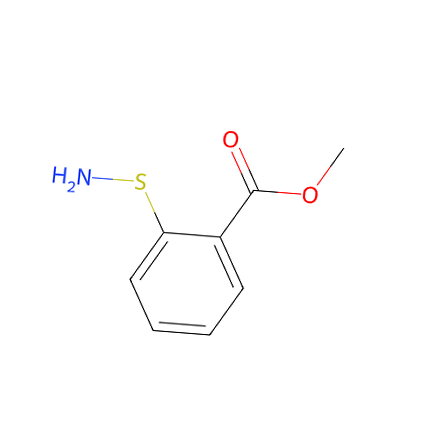 COC(=O)c1ccccc1SN